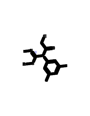 C/N=C(\SBr)N(C(=O)CCl)c1cc(C)cc(C)c1